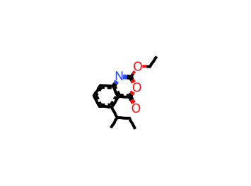 CCOc1nc2cccc(C(C)CC)c2c(=O)o1